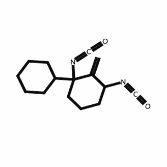 C=C1C(N=C=O)CCCC1(N=C=O)C1CCCCC1